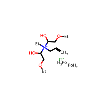 C=CC[N+](CC)(C(O)COCC)C(O)COCC.[Cl-].[PoH2].[PoH2]